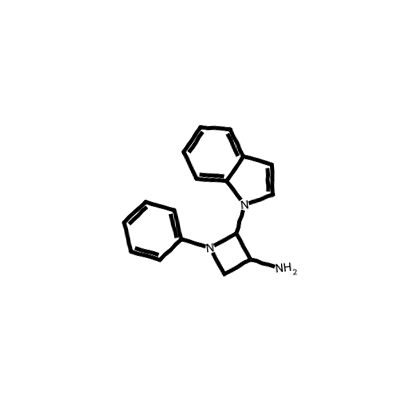 NC1CN(c2ccccc2)C1n1ccc2ccccc21